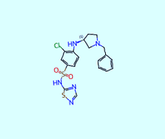 O=S(=O)(Nc1ncns1)c1ccc(N[C@H]2CCN(Cc3ccccc3)C2)c(Cl)c1